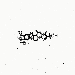 COC(=O)c1cc2nc3n(c2cc1S(C)(=O)=O)CCN(c1ncc(C(C)(C)O)c(C)n1)[C@@H]3C(C)C